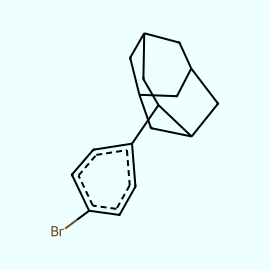 Brc1ccc(C2CC3CC4CC(C3)CC2C4)cc1